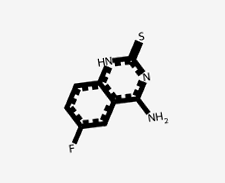 Nc1nc(=S)[nH]c2ccc(F)cc12